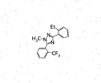 CCc1ccccc1-c1nc(-c2ccccc2C(F)(F)F)n(C)n1